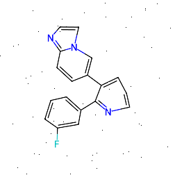 Fc1cccc(-c2ncccc2-c2ccc3nccn3c2)c1